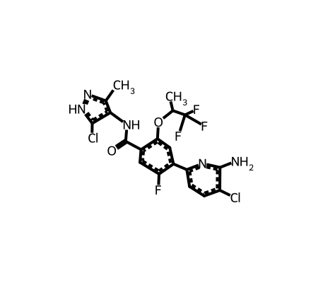 Cc1n[nH]c(Cl)c1NC(=O)c1cc(F)c(-c2ccc(Cl)c(N)n2)cc1OC(C)C(F)(F)F